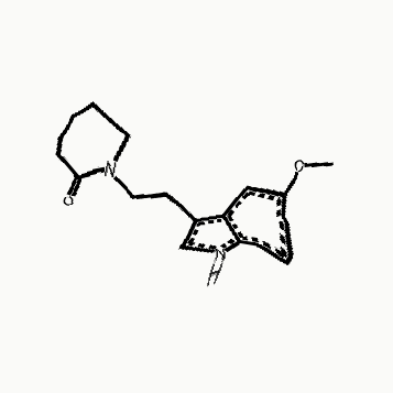 COc1ccc2[nH]cc(CCN3CCCCC3=O)c2c1